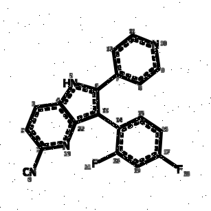 [C-]#[N+]c1ccc2[nH]c(-c3ccncc3)c(-c3ccc(F)cc3F)c2n1